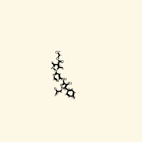 CCc1c(Nc2cc(-n3nc(C)c(C(=O)OCCl)c3C)ncn2)nn(CC(F)F)c1-c1ccc(F)cc1